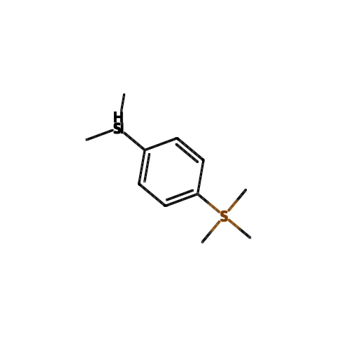 C[SiH](C)c1ccc(S(C)(C)C)cc1